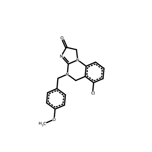 COc1ccc(CN2Cc3c(Cl)cccc3N3CC(=O)N=C23)cc1